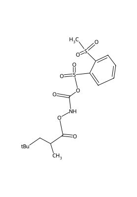 CC(CC(C)(C)C)C(=O)ONC(=O)OS(=O)(=O)c1ccccc1S(C)(=O)=O